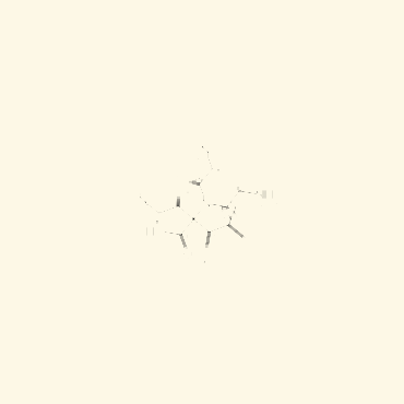 C=C(C)C(=O)C(C(=O)O)(C(=O)CN)N(C(=O)CN)C(=O)CN